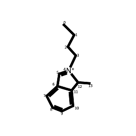 CCCC[N+]1=Cc2ccccc2C1C